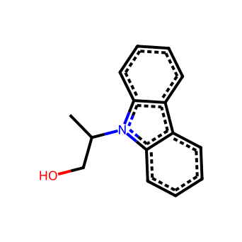 CC(CO)n1c2ccccc2c2ccccc21